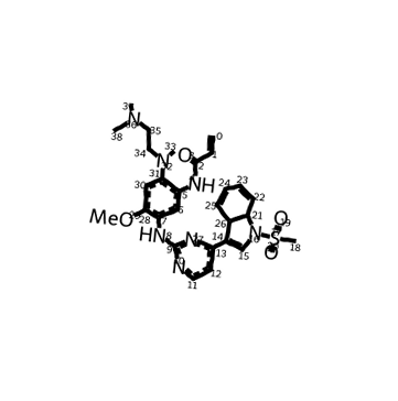 C=CC(=O)Nc1cc(Nc2nccc(C3=CN(S(C)(=O)=O)C4C=CC=CC34)n2)c(OC)cc1N(C)CCN(C)C